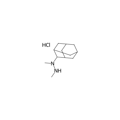 CNN(C)C1C2CC3CC(C2)CC1C3.Cl